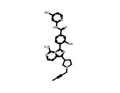 CC#CCN1CCC(c2nc(-c3ccc(C(=O)Nc4cc(C#N)ccn4)cc3C#N)n3c(N)nccc23)C1